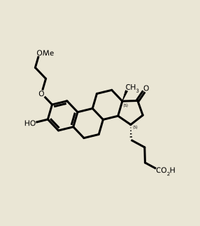 COCCOc1cc2c(cc1O)CCC1C2CC[C@]2(C)C(=O)C[C@H](CCCC(=O)O)C12